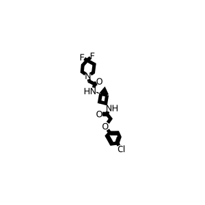 O=C(COc1ccc(Cl)cc1)N[C@@H]1C[C@@]2(NC(=O)CN3CCC(F)(F)CC3)CC12